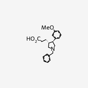 COc1cccc([C@H]2CN(Cc3ccccc3)C[C@@H]2CCC(=O)O)c1